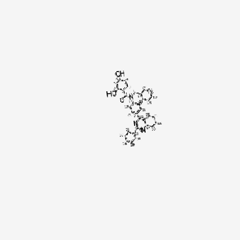 O=C(c1ccc(O)cc1O)N(Cc1cccnc1)c1ccc(-c2nc(-c3ccccc3)nc3ccccc23)cc1